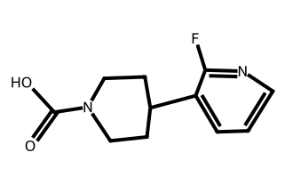 O=C(O)N1CCC(c2cccnc2F)CC1